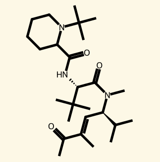 CC(=O)/C(C)=C/[C@H](C(C)C)N(C)C(=O)[C@@H](NC(=O)C1CCCCN1C(C)(C)C)C(C)(C)C